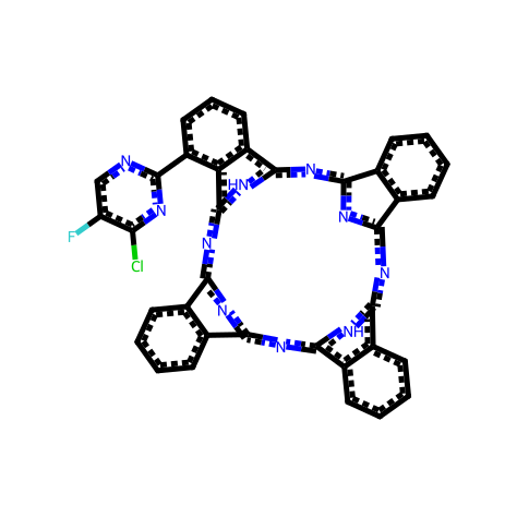 Fc1cnc(-c2cccc3c4nc5nc(nc6[nH]c(nc7nc(nc([nH]4)c23)-c2ccccc2-7)c2ccccc62)-c2ccccc2-5)nc1Cl